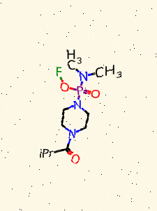 CC(C)C(=O)N1CCN(P(=O)(OF)N(C)C)CC1